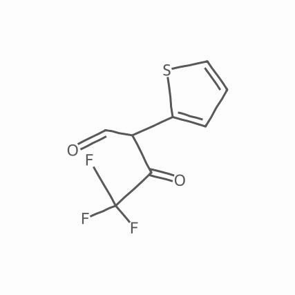 O=CC(C(=O)C(F)(F)F)c1cccs1